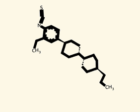 CCC[C@H]1CC[C@H]([C@H]2CC[C@H](c3ccc(N=C=S)c(CC)c3)CC2)CC1